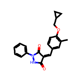 Cc1cc(C=C2C(=O)NN(c3ccccc3)C2=O)ccc1OCC1CC1